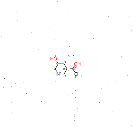 CC(O)[C@H]1CNCC(O)C1